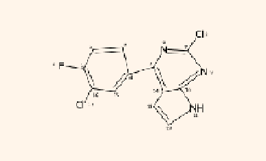 Fc1ccc(-c2nc(Cl)nc3[nH]ccc23)cc1Cl